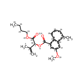 C=C(C)[C@H](OC(=O)c1cc(OC)cc2c(C)cccc12)C(=O)OCCCC